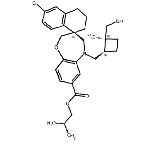 CC(C)COC(=O)c1ccc2c(c1)N(C[C@@H]1CC[C@]1(C)CO)C[C@@]1(CCCc3cc(Cl)ccc31)CO2